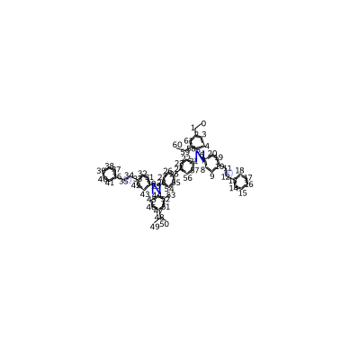 CCc1ccc(N(c2ccc(/C=C/c3ccccc3)cc2)c2ccc(-c3ccc(N(c4ccc(/C=C/c5ccccc5)cc4)c4ccc(C(C)C)cc4C)cc3)cc2)c(CC)c1